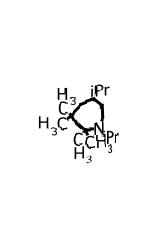 CC(C)C1CCN(C(C)C)C(C)(C)CC(C)(C)C1